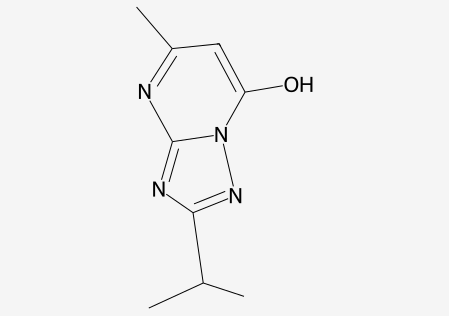 Cc1cc(O)n2nc(C(C)C)nc2n1